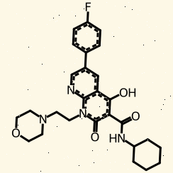 O=C(NC1CCCCC1)c1c(O)c2cc(-c3ccc(F)cc3)cnc2n(CCN2CCOCC2)c1=O